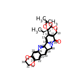 CC[C@@]1(OC(C)C)C(=O)OCc2c1cc1n(c2=O)Cc2cc3cc4c(cc3nc2-1)OCCO4